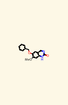 COc1cc2[nH]c(=O)ncc2cc1OCc1ccccc1